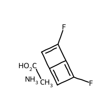 CC(=O)O.Fc1cc2cc(F)c1-2.N